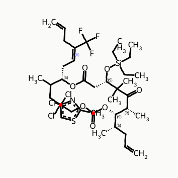 C=CC/C(=C\C[C@H](OC(=O)C[C@H](O[Si](CC)(CC)CC)C(C)(C)C(=O)[C@H](C)[C@@H](OC(=O)OCC(Cl)(Cl)Cl)[C@@H](C)CC=C)C(C)Cc1csc(C)n1)C(F)(F)F